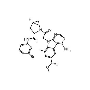 COC(=O)c1cc(C)c2c(c1)c1c(N)ncnc1n2CC(=O)N1C2C[C@@H]2C[C@H]1C(=O)Nc1cccc(Br)n1